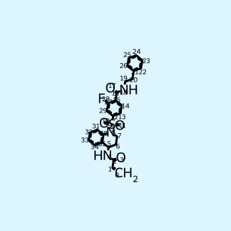 C=CC(=O)NC1CCN(S(=O)(=O)c2ccc(C(=O)NCCc3ccccc3)c(F)c2)c2ccccc21